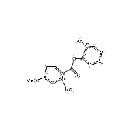 COc1ccc(C(=O)Oc2ccccc2C(C)=O)c([N+](=O)[O-])c1